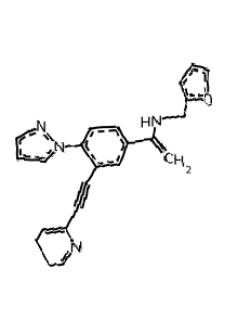 C=C(NCc1ccco1)c1ccc(-n2cccn2)c(C#CC2=CCCC=N2)c1